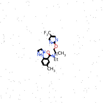 CCN(C(=O)c1cc(C)ccc1-n1nccn1)[C@@H](C)COc1ncc(C(F)(F)F)cn1